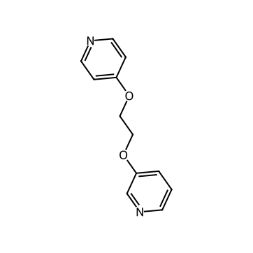 c1cncc(OCCOc2ccncc2)c1